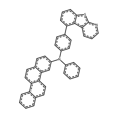 c1ccc(N(c2ccc(-c3cccc4sc5ncccc5c34)cc2)c2ccc3ccc4c5ccccc5ccc4c3c2)cc1